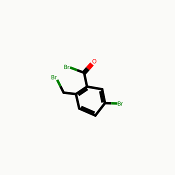 O=C(Br)c1cc(Br)ccc1CBr